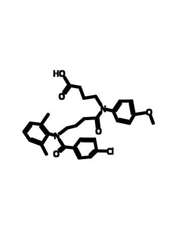 COc1ccc(N(CCCC(=O)O)C(=O)CCCN(C(=O)c2ccc(Cl)cc2)c2c(C)cccc2C)cc1